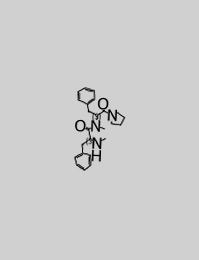 CN[C@@H](Cc1ccccc1)C(=O)N(C)[C@@H](Cc1ccccc1)C(=O)N1CCCC1